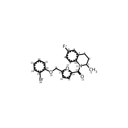 CC1CCc2cc(F)ccc2N1C(=O)c1ccc(COc2ccccc2Br)o1